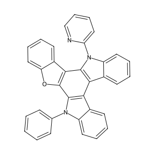 c1ccc(-n2c3ccccc3c3c4c5ccccc5n(-c5ccccn5)c4c4c5ccccc5oc4c32)cc1